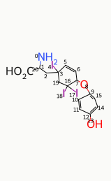 NC(CC1(I)C=CC(Oc2ccc(O)cc2)C(I)(I)C1)C(=O)O